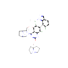 Cn1ncc2ccc(F)c(-c3c(F)c4c5c(nc(OC[C@@]67CCCN6C[C@H](F)C7)nc5c3F)N3C[C@H]5CC[C@H](N5)[C@H]3CO4)c21